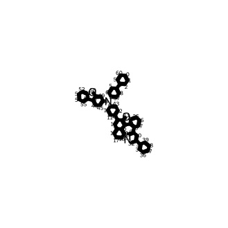 c1ccc(-c2ccc(N(c3ccc(-c4cc5ccccc5c5c4oc4cccc(-c6cncc(-c7ccccc7)c6)c45)cc3)c3ccc4c(c3)oc3ccccc34)cc2)cc1